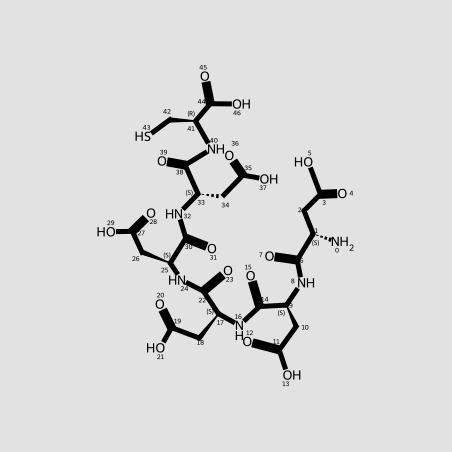 N[C@@H](CC(=O)O)C(=O)N[C@@H](CC(=O)O)C(=O)N[C@@H](CC(=O)O)C(=O)N[C@@H](CC(=O)O)C(=O)N[C@@H](CC(=O)O)C(=O)N[C@@H](CS)C(=O)O